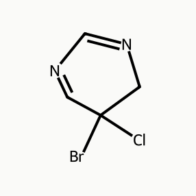 ClC1(Br)C=NC=NC1